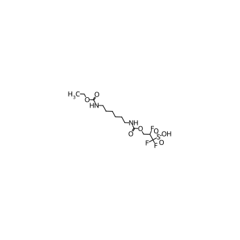 CCOC(=O)NCCCCCCNC(=O)OCC(F)C(F)(F)S(=O)(=O)O